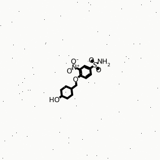 NS(=O)(=O)c1ccc(OCC2CCC(O)CC2)c([N+](=O)[O-])c1